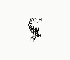 Cc1nc(O[C@H]2CC[C@H](C(=O)O)CC2)ccc1NC(=O)c1nnc(Nc2ccc(F)c(F)c2)o1